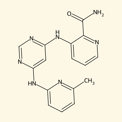 Cc1cccc(Nc2cc(Nc3cccnc3C(N)=O)ncn2)n1